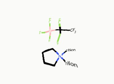 CCCCCCCCC[N+]1(CCCCCCCCC)CCCC1.F[B-](F)(F)C(F)(F)C(F)(F)F